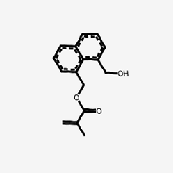 C=C(C)C(=O)OCc1cccc2cccc(CO)c12